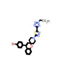 O=C(O)Cn1nnc(-c2nnc(N3CCC4(C=C(c5ccc(Br)cc5)c5ccccc5O4)CC3)s2)n1